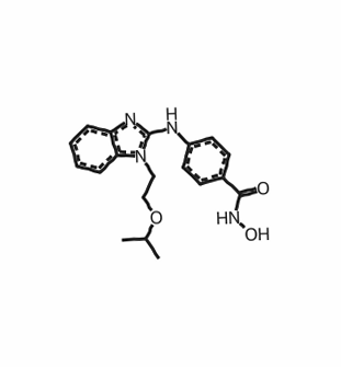 CC(C)OCCn1c(Nc2ccc(C(=O)NO)cc2)nc2ccccc21